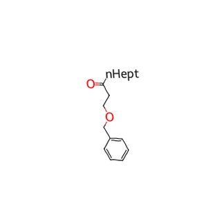 CCCCCCCC(=O)CCOCc1ccccc1